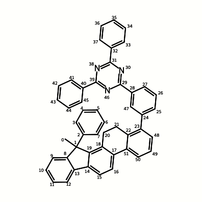 CC1(c2ccccc2)c2ccccc2-c2ccc3c(c21)CCc1c(-c2cccc(-c4nc(-c5ccccc5)nc(-c5ccccc5)n4)c2)cccc1-3